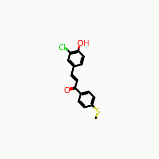 CSc1ccc(C(=O)C=Cc2ccc(O)c(Cl)c2)cc1